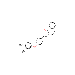 N#Cc1ccc(O[C@H]2CC[C@H](CCC3CCc4ccccc4C3=O)CC2)cc1C(F)(F)F